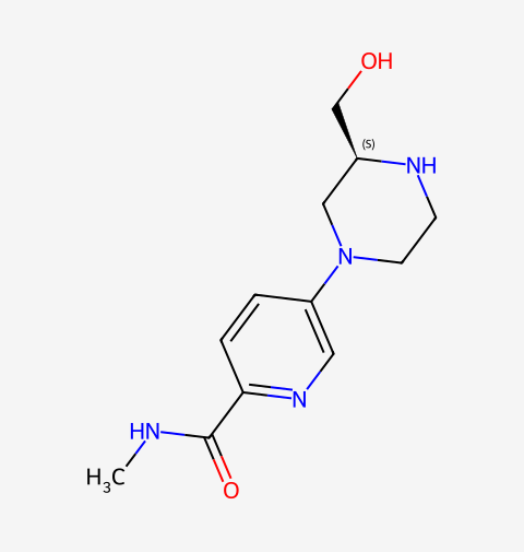 CNC(=O)c1ccc(N2CCN[C@H](CO)C2)cn1